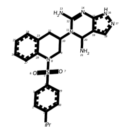 CC(C)c1ccc(S(=O)(=O)N2CC(N3C(N)=Nc4[nH]ncc4C3N)Cc3ccccc32)cc1